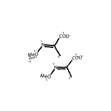 CON=C(C)C(=O)[O-].CON=C(C)C(=O)[O-].[Zn+2]